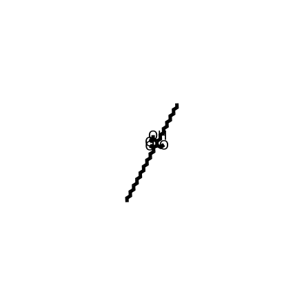 CCCCCCCCCCCCCCCCCC(=O)C([C]=O)C(CCCCCCCCCCCC)C(=O)O